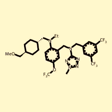 CCN(C[C@H]1CC[C@H](COC)CC1)c1ccc(OC(F)(F)F)cc1CN(Cc1cc(C(F)(F)F)cc(C(F)(F)F)c1)c1nnn(C)n1